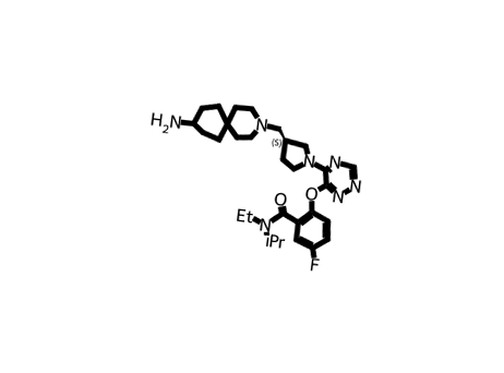 CCN(C(=O)c1cc(F)ccc1Oc1nncnc1N1CC[C@@H](CN2CCC3(CCC(N)CC3)CC2)C1)C(C)C